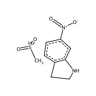 C[SH](=O)=O.O=[N+]([O-])c1ccc2c(c1)NCC2